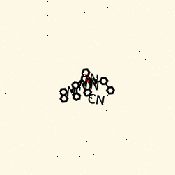 N#Cc1ccc(-n2c3ccccc3c3ccc4c(c5ccccc5n4-c4cccc5ccccc45)c32)c(-c2nc(-c3ccccc3)nc(-c3cccc(-c4ccccc4)c3)n2)c1